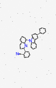 N#Cc1ccccc1-c1ccc2cccc(-n3c4ccccc4c4cc(-c5ccccc5)ccc43)c2n1